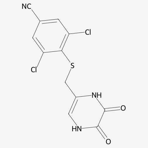 N#Cc1cc(Cl)c(SCc2c[nH]c(=O)c(=O)[nH]2)c(Cl)c1